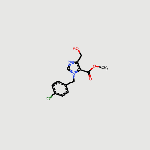 COC(=O)c1c(CO)ncn1Cc1ccc(Cl)cc1